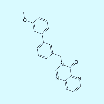 COc1cccc(-c2cccc(Cn3cnc4cccnc4c3=O)c2)c1